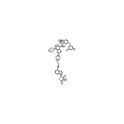 O=C1CCC(n2ccc3c(C#CCCN4CCN(c5ccc(C(=O)Nc6n[nH]c7ccc(Cc8cc(F)cc(F)c8)cc67)c(NC6CCOCC6)c5)CC4)cccc32)C(=O)N1